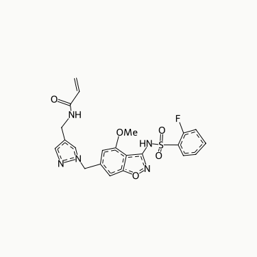 C=CC(=O)NCc1cnn(Cc2cc(OC)c3c(NS(=O)(=O)c4ccccc4F)noc3c2)c1